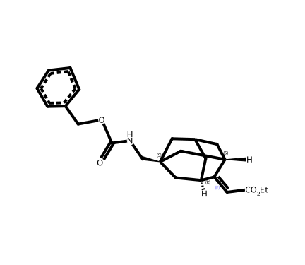 CCOC(=O)/C=C1/[C@@H]2CC3C[C@H]1C[C@@](CNC(=O)OCc1ccccc1)(C3)C2